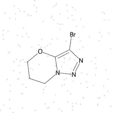 Brc1nnn2c1OCCC2